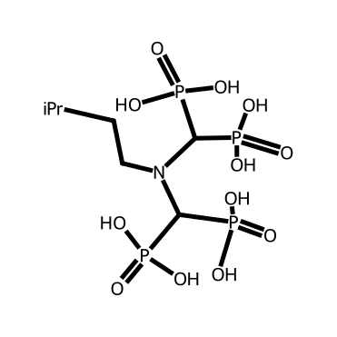 CC(C)CCN(C(P(=O)(O)O)P(=O)(O)O)C(P(=O)(O)O)P(=O)(O)O